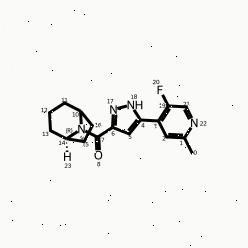 Cc1cc(-c2cc(C(=O)N3C4CCC[C@@H]3CC4)n[nH]2)c(F)cn1